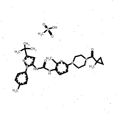 CS(=O)(=O)O.Cc1ccc(-n2nc(C(C)(C)C)cc2NC(=O)Nc2ccc(N3CCN(C(=O)C4(C)CC4)CC3)nc2C)cc1